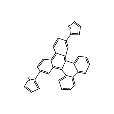 c1csc(-c2ccc3c4ccc(-c5cccs5)cc4c4c5ccccc5c5ccccc5c4c3c2)c1